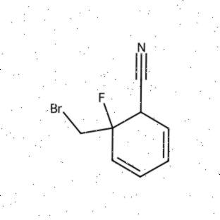 N#CC1C=CC=CC1(F)CBr